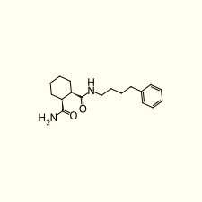 NC(=O)[C@H]1CCCC[C@H]1C(=O)NCCCCc1ccccc1